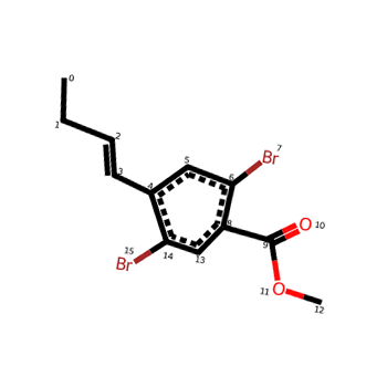 CC/C=C/c1cc(Br)c(C(=O)OC)cc1Br